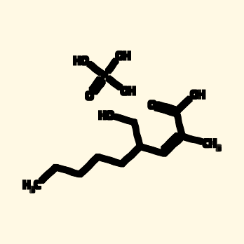 CCCCCC(C=C(C)C(=O)O)CO.O=P(O)(O)O